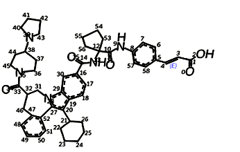 O=C(O)/C=C/c1ccc(NC(=O)C2(NC(=O)c3ccc4c(C5CCCCC5)c5n(c4c3)CC(C(=O)N3CCC(N4CCCC4)CC3)Cc3ccccc3-5)CCCC2)cc1